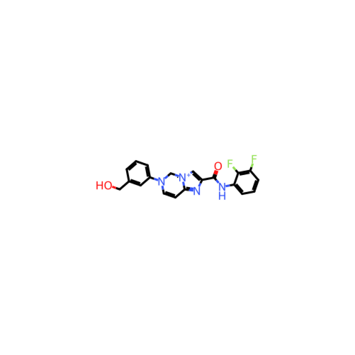 O=C(Nc1cccc(F)c1F)C1=C[N+]2CN(c3cccc(CO)c3)C=CC2=N1